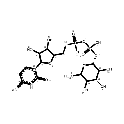 O=C(O)C1O[C@H](OP(=O)(O)OP(=O)(O)OCC2OC(n3ccc(=O)[nH]c3=O)C(O)C2O)[C@@H](O)[C@H](O)C1O